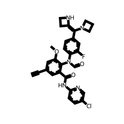 C#Cc1cc(OC)c(N(C=O)c2ccc(C(=C3CCN3)N3CCC3)cc2F)c(C(=O)Nc2ccc(Cl)cn2)c1